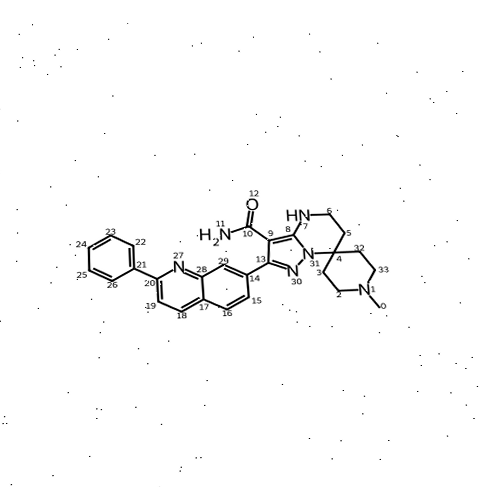 CN1CCC2(CCNc3c(C(N)=O)c(-c4ccc5ccc(-c6ccccc6)nc5c4)nn32)CC1